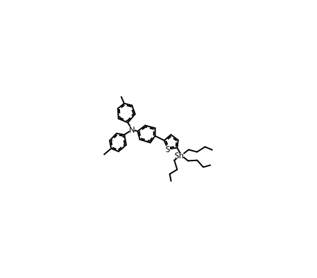 CCC[CH2][Sn]([CH2]CCC)([CH2]CCC)[c]1ccc(-c2ccc(N(c3ccc(C)cc3)c3ccc(C)cc3)cc2)s1